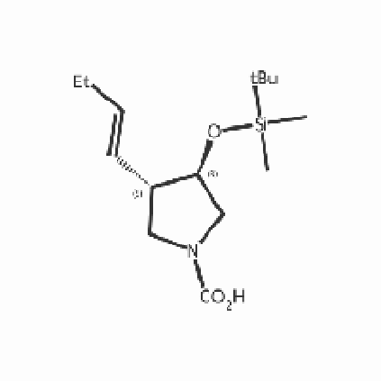 CCC=C[C@H]1CN(C(=O)O)C[C@@H]1O[Si](C)(C)C(C)(C)C